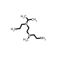 CC(C)N(CCN)CCN(C)CCN